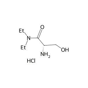 CCN(CC)C(=O)[C@@H](N)CO.Cl